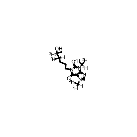 [2H]C([2H])([2H])n1cnc2c1c(=O)n(CCCC([2H])([2H])[C@]([2H])(C)O)c(=O)n2C([2H])([2H])[2H]